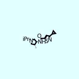 CC(C)N1C[C@@H](C)[C@@H](NC(=O)c2cc(C3CC3)ns2)C1